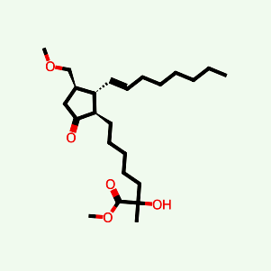 CCCCCCC=C[C@H]1[C@H](COC)CC(=O)[C@@H]1CCCCCC(C)(O)C(=O)OC